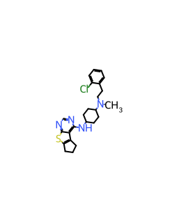 CN(CCc1ccccc1Cl)C1CCC(Nc2ncnc3sc4c(c23)CCC4)CC1